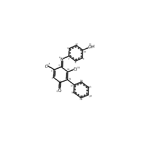 O=C1C=C(Cl)C(=Nc2ccc(O)cc2)C(Cl)=C1c1ccccc1